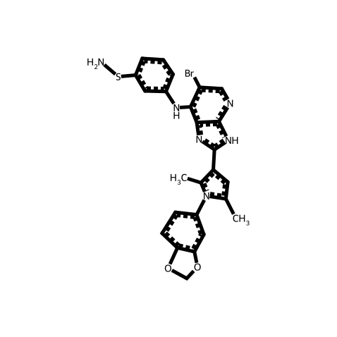 Cc1cc(-c2nc3c(Nc4cccc(SN)c4)c(Br)cnc3[nH]2)c(C)n1-c1ccc2c(c1)OCO2